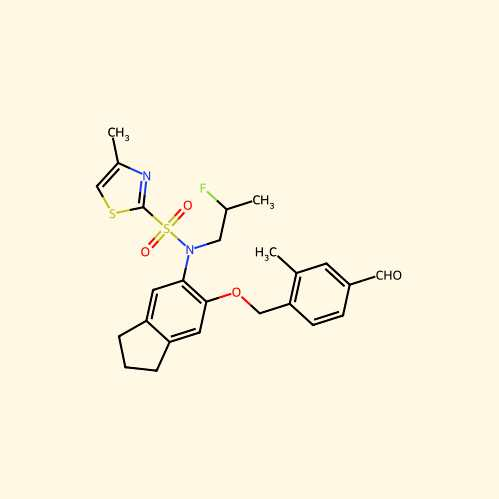 Cc1csc(S(=O)(=O)N(CC(C)F)c2cc3c(cc2OCc2ccc(C=O)cc2C)CCC3)n1